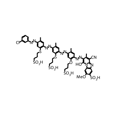 COc1cc2c(cc1S(=O)(=O)O)nc1c(C#N)c(C)c(N=Nc3cc(C)c(N=Nc4cc(C)c(N=Nc5cc(C)c(N=Nc6cccc(Cl)c6)cc5SCCCS(=O)(=O)O)cc4SCCCS(=O)(=O)O)cc3OCCCS(=O)(=O)O)c(O)n12